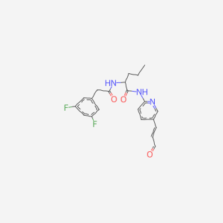 CCCC(NC(=O)Cc1cc(F)cc(F)c1)C(=O)Nc1ccc(C=CC=O)cn1